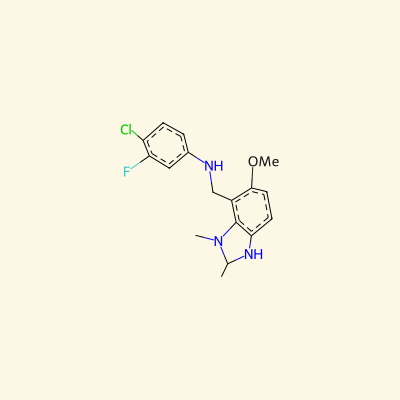 COc1ccc2c(c1CNc1ccc(Cl)c(F)c1)N(C)C(C)N2